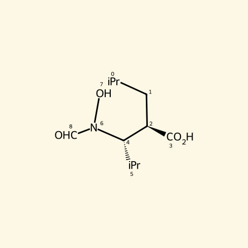 CC(C)C[C@@H](C(=O)O)[C@H](C(C)C)N(O)C=O